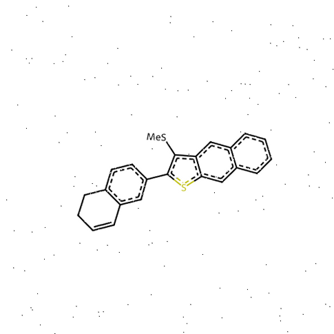 CSc1c(-c2ccc3c(c2)C=CCC3)sc2cc3ccccc3cc12